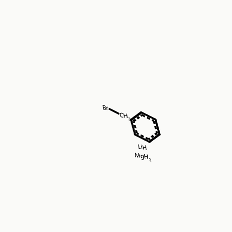 CBr.[LiH].[MgH2].[c]1ccccc1